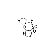 O=S1(=O)NCC2(CCOCC2)Oc2ncccc21